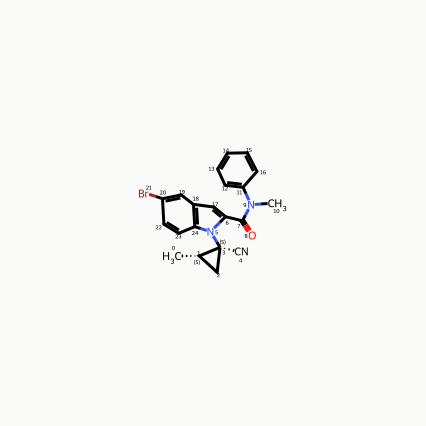 C[C@H]1C[C@]1(C#N)n1c(C(=O)N(C)c2ccccc2)cc2cc(Br)ccc21